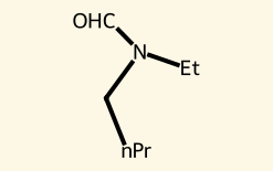 [CH2]CCCN(C=O)CC